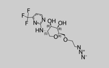 [N-]=[N+]=NCCOC[C@H]1OC[C@H](Nc2nccc(C(F)(F)F)n2)[C@@H](O)[C@H]1O